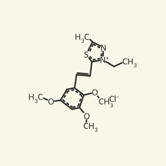 CC[n+]1nc(C)sc1/C=C/c1cc(OC)cc(OC)c1OC.[Cl-]